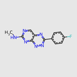 CNc1ncc2nc(-c3ccc(F)cc3)nnc2n1